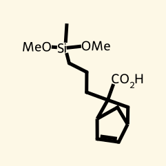 CO[Si](C)(CCCC1(C(=O)O)CC2C=CC1C2)OC